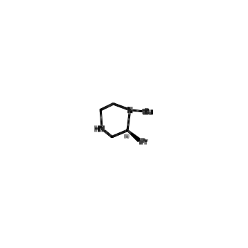 CC(C)[C@H]1CNCCN1C(C)(C)C